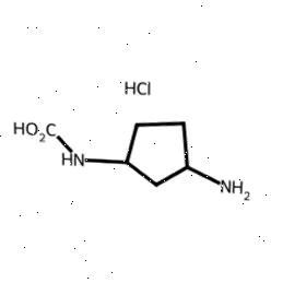 Cl.NC1CCC(NC(=O)O)C1